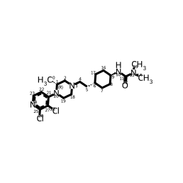 C[C@@H]1CN(CC[C@H]2CC[C@H](NC(=O)N(C)C)CC2)CCN1c1ccnc(Cl)c1Cl